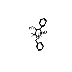 CCCC(C(=O)OCc1ccccc1)C(c1ccccc1)[PH](=O)O